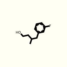 CC(CCO)Cc1cccc(F)c1